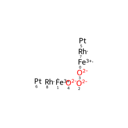 [Fe+3].[Fe+3].[O-2].[O-2].[O-2].[Pt].[Pt].[Rh].[Rh]